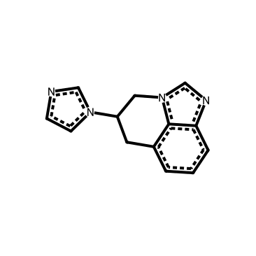 c1cc2c3c(c1)ncn3CC(n1ccnc1)C2